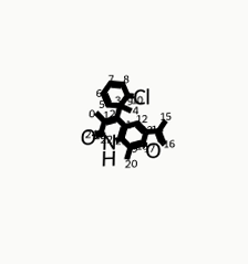 Cc1c(C2(C)C=CC=CC2Cl)c2cc3c(C)coc3c(C)c2[nH]c1=O